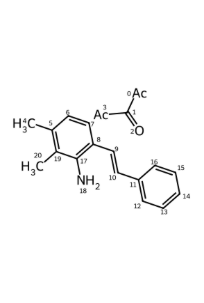 CC(=O)C(=O)C(C)=O.Cc1ccc(C=Cc2ccccc2)c(N)c1C